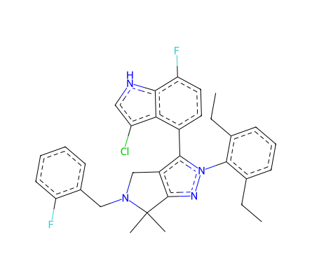 CCc1cccc(CC)c1-n1nc2c(c1-c1ccc(F)c3[nH]cc(Cl)c13)CN(Cc1ccccc1F)C2(C)C